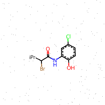 CC(C)C(Br)C(=O)Nc1cc(Cl)ccc1O